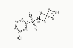 O=S(=O)(c1cccc(Cl)c1)N1CC2(CNC2)C1